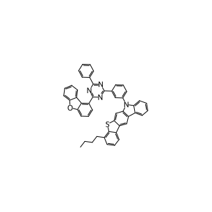 CCCCc1cccc2c1sc1cc3c(cc12)c1ccccc1n3-c1cccc(-c2nc(-c3ccccc3)nc(-c3cccc4oc5ccccc5c34)n2)c1